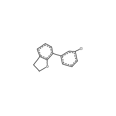 Clc1cccc(-c2cccc3c2O[CH]C3)c1